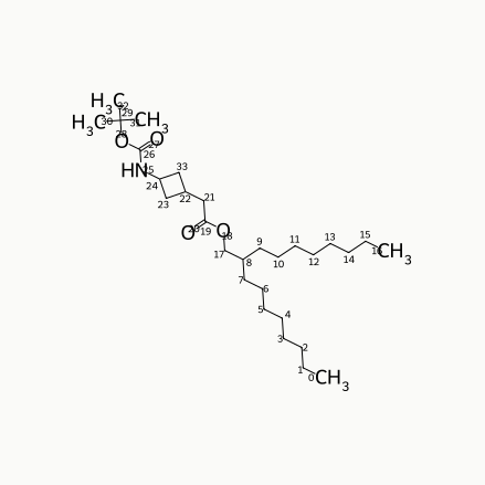 CCCCCCCCC(CCCCCCCC)COC(=O)CC1CC(NC(=O)OC(C)(C)C)C1